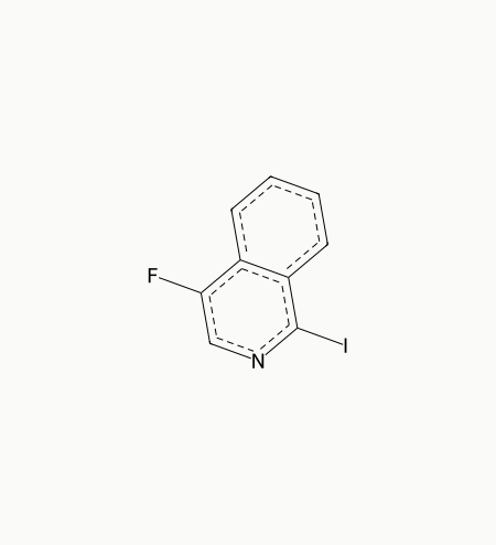 Fc1cnc(I)c2ccccc12